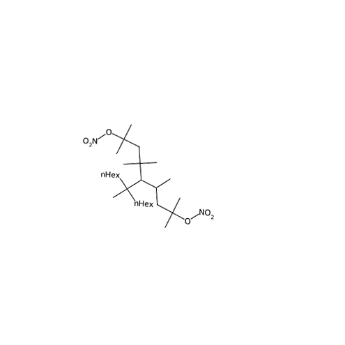 CCCCCCC(C)(CCCCCC)C(C(C)CC(C)(C)O[N+](=O)[O-])C(C)(C)CC(C)(C)O[N+](=O)[O-]